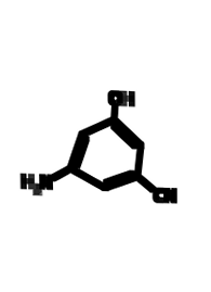 N#Cc1cc(N)cc(O)c1